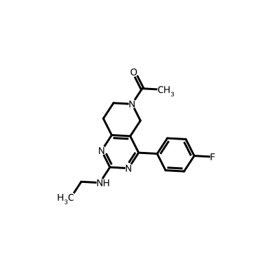 CCNc1nc2c(c(-c3ccc(F)cc3)n1)CN(C(C)=O)CC2